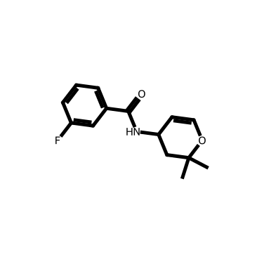 CC1(C)CC(NC(=O)c2cccc(F)c2)C=CO1